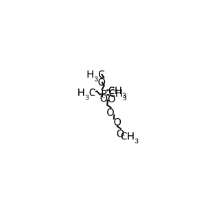 CCCP(CC)(CC)(CCOCC)OC(=O)CCOCCOCCOC